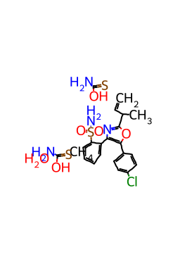 C.C=CC(C)c1nc(-c2ccccc2S(N)(=O)=O)c(-c2ccc(Cl)cc2)o1.NC(O)=S.NC(O)=S.O